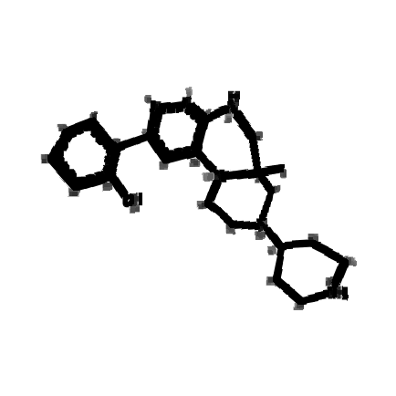 CC12CNc3nnc(-c4ccccc4O)cc3N1CCN(C1CCNCC1)C2